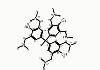 CNCc1cc(C(C)(c2cc(CN(C)C)c(O)c(CN(C)C)c2)c2cc(CN(C)C)c(O)c(CN(C)C)c2)cc(CN(C)C)c1O